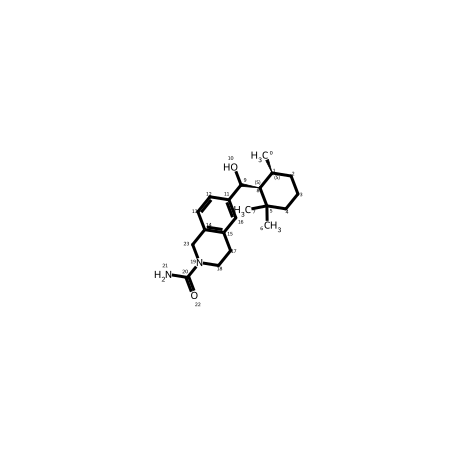 C[C@H]1CCCC(C)(C)[C@H]1C(O)c1ccc2c(c1)CCN(C(N)=O)C2